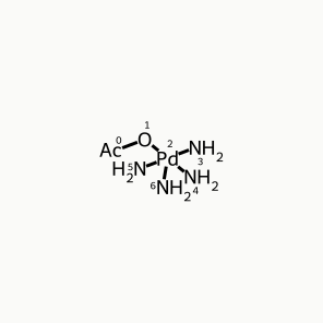 CC(=O)[O][Pd]([NH2])([NH2])([NH2])[NH2]